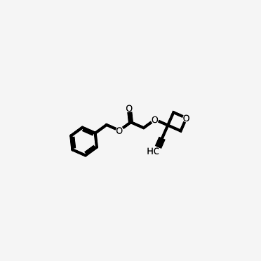 C#CC1(OCC(=O)OCc2ccccc2)COC1